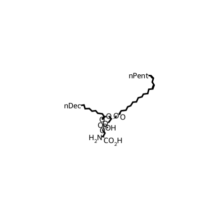 CCCCC/C=C\C/C=C\CCCCCCCCCCCC(=O)OC[C@H](COP(=O)(O)OC[C@H](N)C(=O)O)OC(=O)CCCCCCCCCCCCCCCCC